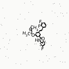 COC[C@H](C)Oc1cc(C=Cc2cccc(F)c2F)cc(C(=O)Nc2ncc(F)s2)c1